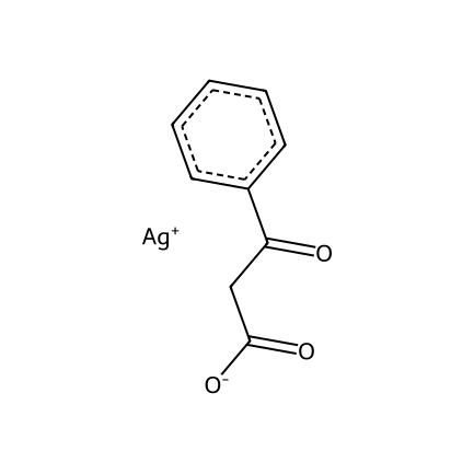 O=C([O-])CC(=O)c1ccccc1.[Ag+]